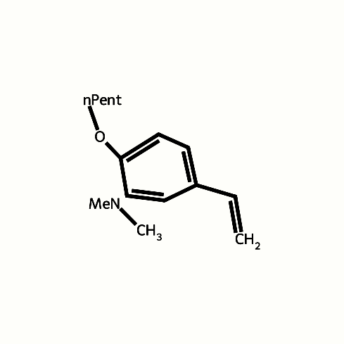 C=Cc1ccc(OCCCCC)cc1.CNC